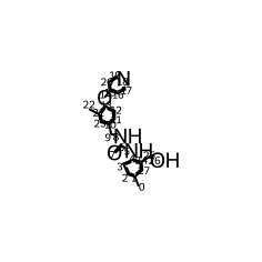 Cc1ccc(NC(=O)NCc2ccc(Oc3ccncc3)c(C)c2)c(CO)c1